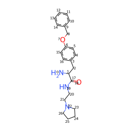 NC(Cc1ccc(OCc2ccccc2)cc1)C(=O)NCCN1CCCC1